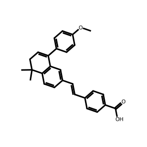 COc1ccc(C2=CCC(C)(C)c3ccc(C=Cc4ccc(C(=O)O)cc4)cc32)cc1